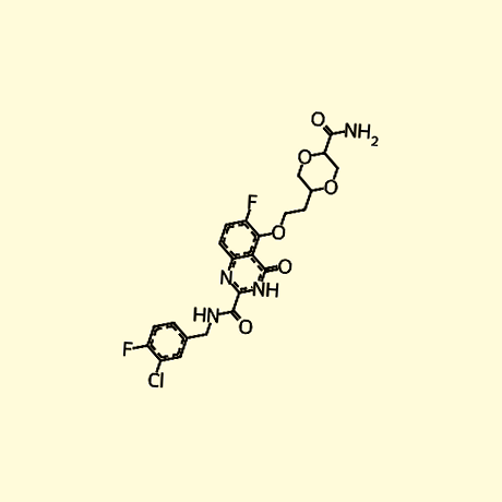 NC(=O)C1COC(CCOc2c(F)ccc3nc(C(=O)NCc4ccc(F)c(Cl)c4)[nH]c(=O)c23)CO1